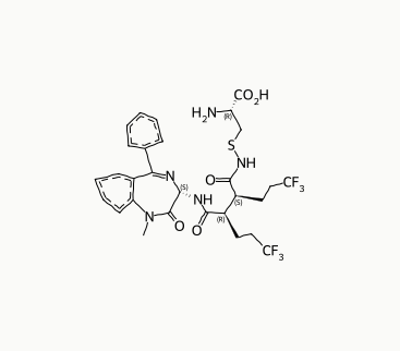 CN1C(=O)[C@@H](NC(=O)[C@H](CCC(F)(F)F)[C@H](CCC(F)(F)F)C(=O)NSC[C@H](N)C(=O)O)N=C(c2ccccc2)c2ccccc21